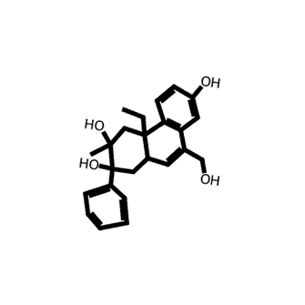 CCC12CC(C)(O)C(O)(c3ccccc3)CC1C=C(CO)c1cc(O)ccc12